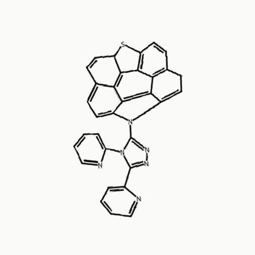 C1=CC2Sc3ccc4c5c3c2c2c1ccc1c2c5c(n1-c1nnc(-c2ccccn2)n1-c1ccccn1)=CC4